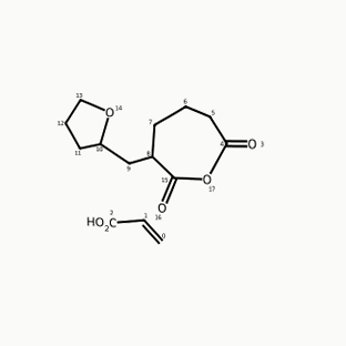 C=CC(=O)O.O=C1CCCC(CC2CCCO2)C(=O)O1